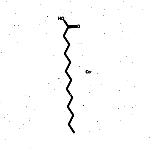 CCCCCCCCCCCCC(=O)O.[Co]